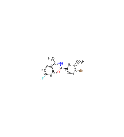 C[C@@H](NC(=O)c1ccc(Br)c(C(=O)O)c1)c1ccc(F)cc1